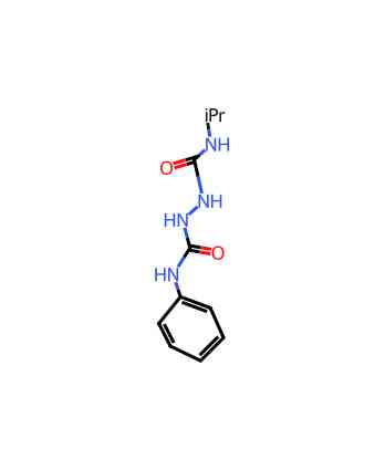 CC(C)NC(=O)NNC(=O)Nc1ccccc1